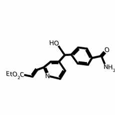 CCOC(=O)/C=C/c1cc(C(O)c2ccc(C(N)=O)cc2)ccn1